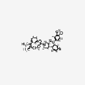 C[C@@H](c1cccc(OC(=O)N2CC[C@@H](c3ccc(F)cc3)[C@H](COc3ccc4c(c3)OCO4)C2)c1)N(C)C